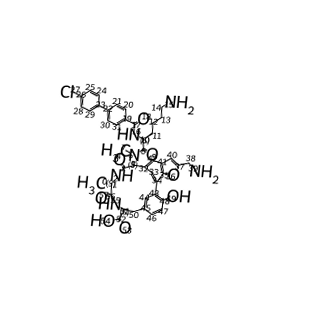 C[C@@H]1NC(=O)[C@@H](N(C)C(=O)[C@H](CCCCN)NC(=O)c2ccc(-c3ccc(Cl)cc3)cc2)c2cc(c3oc(CN)cc3c2)-c2cc(ccc2O)C[C@@H](C(=O)O)NC1=O